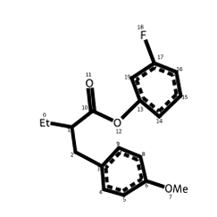 CCC(Cc1ccc(OC)cc1)C(=O)Oc1cccc(F)c1